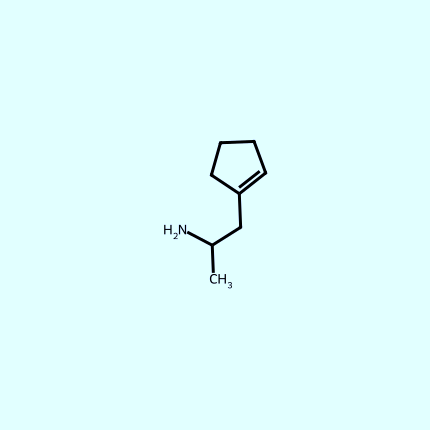 CC(N)CC1=CCCC1